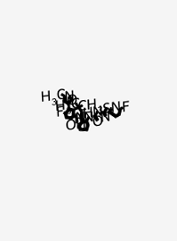 Cc1cc(-c2c(F)cc(O)c3c2C(C)(C)CN3c2ccccc2NC(=O)Nc2nc3ccc(F)nc3s2)on1